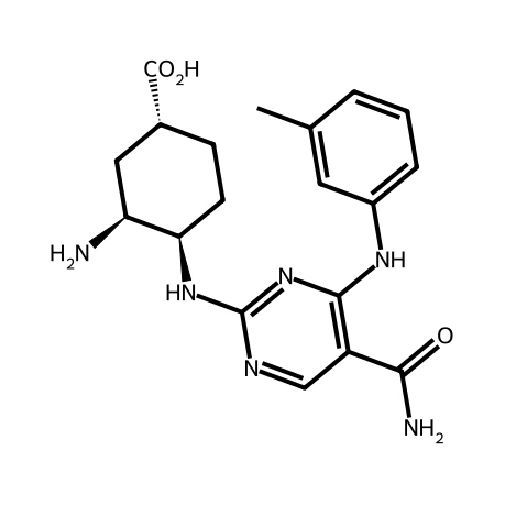 Cc1cccc(Nc2nc(N[C@@H]3CC[C@@H](C(=O)O)C[C@@H]3N)ncc2C(N)=O)c1